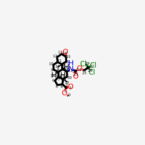 COC(=O)C1CC[C@H]2[C@@H]3CCC4CC5OC5C[C@]4(C)[C@@H]3C(NC(=O)OCC(Cl)(Cl)Cl)C[C@]12C